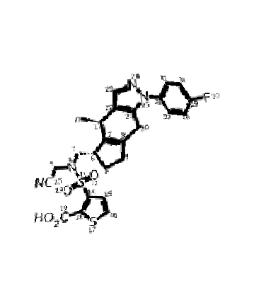 C[C@@H]1C2=C(CC[C@@H]2CN(CC#N)S(=O)(=O)c2ccsc2C(=O)O)Cc2c1cnn2-c1ccc(F)cc1